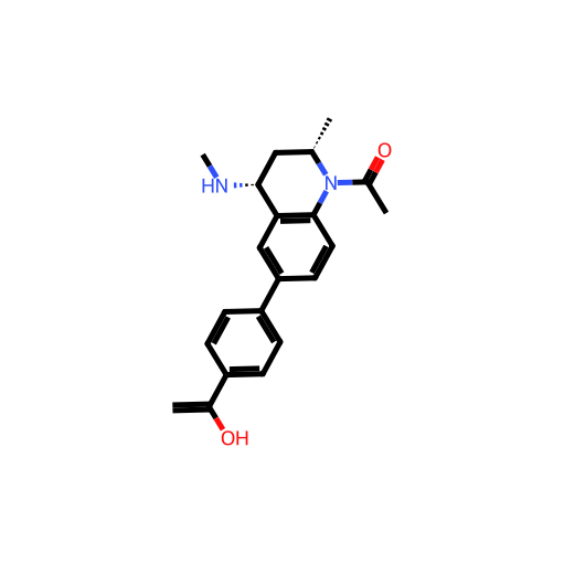 C=C(O)c1ccc(-c2ccc3c(c2)[C@H](NC)C[C@H](C)N3C(C)=O)cc1